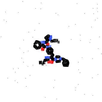 CCC(=O)NC(Cc1ccc(NC(=O)[C@@H](NC(=O)c2ccnn2CC)C2CCCCCC2)cc1)C(=O)N1CCN(Cc2ccccc2)CC1